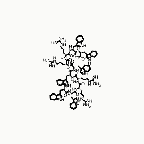 N=C(N)NCCC[C@H](NC(=O)[C@H](CCCNC(=N)N)NC(=O)[C@H](Cc1c[nH]c2ccccc12)NC(=O)[C@H](Cc1c[nH]c2ccccc12)NC(=O)[C@H](CCCNC(=N)N)NC(=O)[C@H](CCCNC(=N)N)NC(=O)[C@H](Cc1c[nH]c2ccccc12)NC(=O)[C@@H](N)Cc1c[nH]c2ccccc12)C(=O)N[C@@H](Cc1c[nH]c2ccccc12)C(=O)N[C@@H](Cc1c[nH]c2ccccc12)C(=O)O